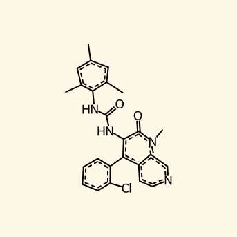 Cc1cc(C)c(NC(=O)Nc2c(-c3ccccc3Cl)c3ccncc3n(C)c2=O)c(C)c1